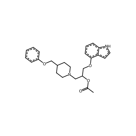 CC(=O)OC(COc1cccc2[nH]ccc12)CN1CCC(COc2ccccc2)CC1